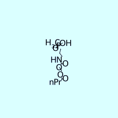 CCCC(=O)OCOC(=O)NCCCP(C)(=O)O